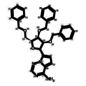 Nc1ncnn2c(C3O[C@H](COCc4ccccc4)[C@@H](OCc4ccccc4)[C@H]3OCc3ccccc3)ccc12